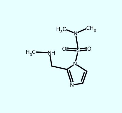 CNCc1nccn1S(=O)(=O)N(C)C